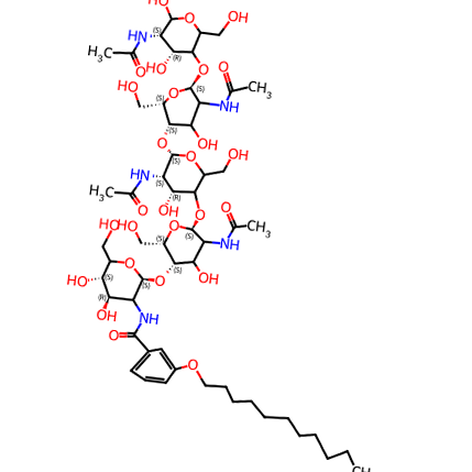 CCCCCCCCCCCOc1cccc(C(=O)NC2[C@H](O[C@H]3C(O)C(NC(C)=O)[C@H](OC4C(CO)O[C@@H](O[C@H]5C(O)C(NC(C)=O)[C@H](OC6C(CO)OC(O)[C@@H](NC(C)=O)[C@H]6O)O[C@H]5CO)[C@@H](NC(C)=O)[C@H]4O)O[C@H]3CO)OC(CO)[C@@H](O)[C@@H]2O)c1